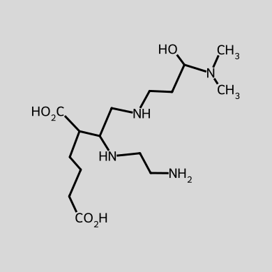 CN(C)C(O)CCNCC(NCCN)C(CCCC(=O)O)C(=O)O